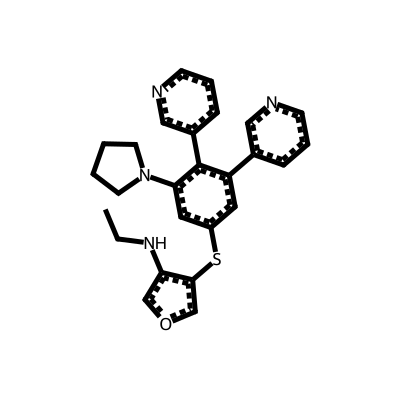 CCNc1cocc1Sc1cc(-c2cccnc2)c(-c2cccnc2)c(N2CCCC2)c1